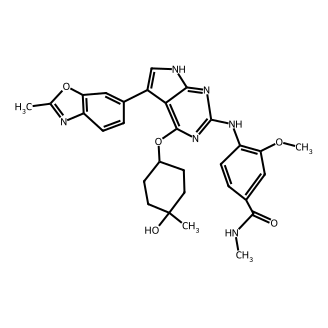 CNC(=O)c1ccc(Nc2nc(OC3CCC(C)(O)CC3)c3c(-c4ccc5nc(C)oc5c4)c[nH]c3n2)c(OC)c1